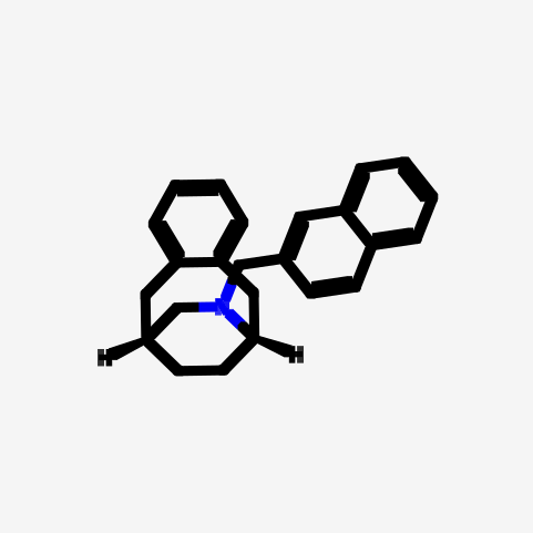 c1ccc2c(c1)C[C@H]1CC[C@@H](C2)N(Cc2ccc3ccccc3c2)C1